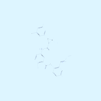 CO/N=C/c1cc(F)ccc1NC(=O)c1cc(NC(=O)C2C(c3cc(Cl)cc(Cl)c3)C2(Cl)Cl)ccc1Cl